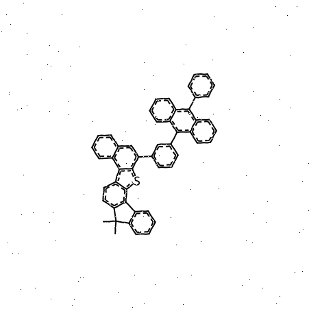 CC1(C)c2ccccc2-c2c1ccc1c2sc2c(-c3cccc(-c4c5ccccc5c(-c5ccccc5)c5ccccc45)c3)cc3ccccc3c21